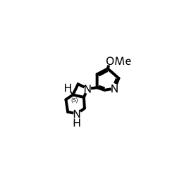 COc1cncc(N2C[C@@H]3CCNCC32)c1